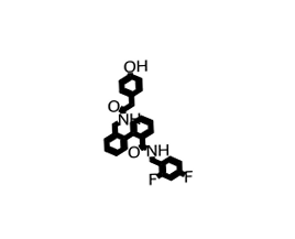 O=C(Cc1ccc(O)cc1)NCc1ccccc1-c1ccccc1C(=O)NCc1ccc(F)cc1F